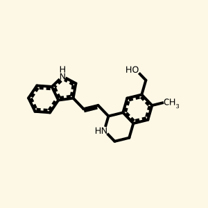 Cc1cc2c(cc1CO)C(/C=C/c1c[nH]c3ccccc13)NCC2